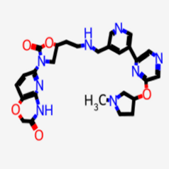 CN1CCC(Oc2cncc(-c3cncc(CNCCC4CN(c5ccc6c(n5)NC(=O)CO6)C(=O)O4)c3)n2)C1